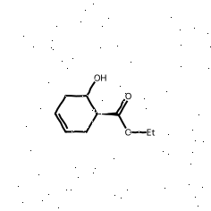 CCOC(=O)[C@H]1CC=CCC1O